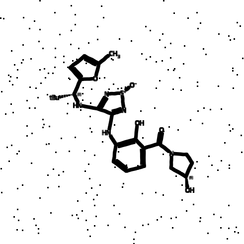 Cc1ccc([C@H](Nc2n[s+]([O-])nc2Nc2cccc(C(=O)N3CC[C@@H](O)C3)c2O)C(C)(C)C)o1